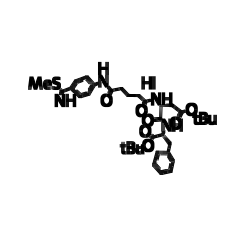 CSC(=N)c1ccc(NC(=O)CCCC(=O)N[C@@H](CC(=O)OC(C)(C)C)C(=O)N[C@@H](Cc2ccccc2)C(=O)OC(C)(C)C)cc1.I